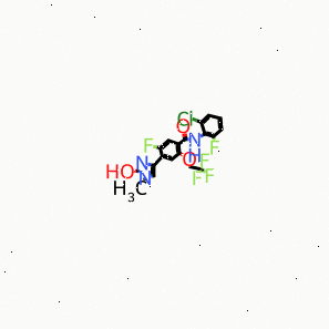 Cn1cc(-c2cc(OCC(F)(F)F)c(C(=O)Nc3c(F)cccc3Cl)cc2F)nc1O